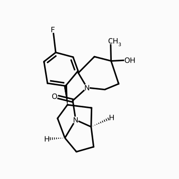 CC1(O)CCN(C(=O)N2[C@@H]3CC[C@H]2C[C@@H](c2ccc(F)cc2)C3)CC1